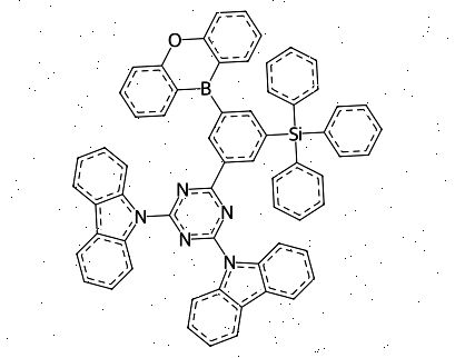 c1ccc([Si](c2ccccc2)(c2ccccc2)c2cc(B3c4ccccc4Oc4ccccc43)cc(-c3nc(-n4c5ccccc5c5ccccc54)nc(-n4c5ccccc5c5ccccc54)n3)c2)cc1